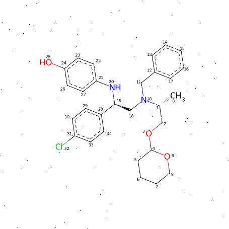 C[C@H](COC1CCCCO1)N(Cc1ccccc1)C[C@H](Nc1ccc(O)cc1)c1ccc(Cl)cc1